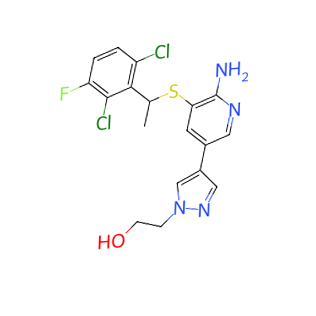 CC(Sc1cc(-c2cnn(CCO)c2)cnc1N)c1c(Cl)ccc(F)c1Cl